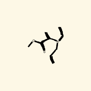 C=CCN(C=C)C(=C)C(=O)OC